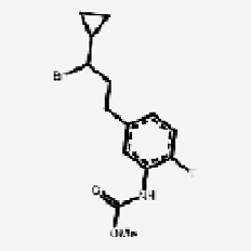 COC(=O)Nc1cc(CCC(Br)C2CC2)ccc1F